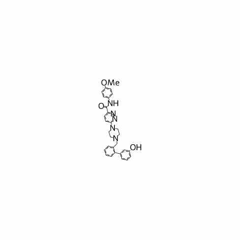 COc1ccc(NC(=O)c2ccc(N3CCN(Cc4ccccc4-c4cccc(O)c4)CC3)nn2)cc1